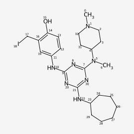 CN1CCC(N(C)c2nc(Nc3ccc(O)c(CI)c3)nc(NC3CCCCCC3)n2)CC1